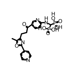 Cc1oc(-c2ccncc2)nc1CCC(=O)c1ccc(NC(P(=O)(O)O)P(=O)(O)O)nc1